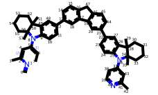 C=N/C(C)=C\C(=C/C)N1c2ccc(-c3ccc4c(c3)-c3cc(-c5ccc6c(c5)C5(C)CCCCC5(C)N6c5ccnc(C)c5)ccc3C4)cc2C2(C)CCCCC12C